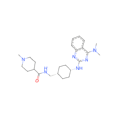 CN1CCC(C(=O)NC[C@H]2CC[C@@H](Nc3nc(N(C)C)c4ccccc4n3)CC2)CC1